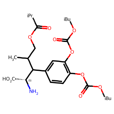 CCC(C)OC(=O)Oc1ccc(C(C(C)COC(=O)C(C)C)[C@H](N)C(=O)O)cc1OC(=O)OC(C)CC